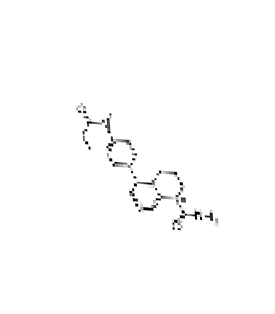 CN1C(=O)CCc2cc(-c3cncc4c3CCC[C@H]4C(N)=O)ccc21